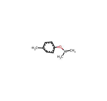 [CH2]c1ccc([O][Al]([CH3])[CH3])cc1